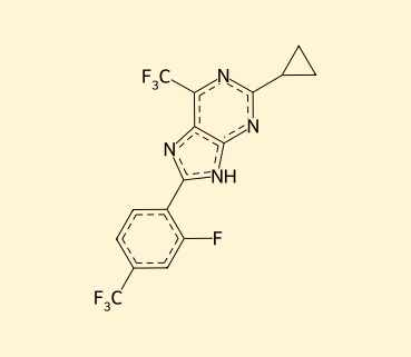 Fc1cc(C(F)(F)F)ccc1-c1nc2c(C(F)(F)F)nc(C3CC3)nc2[nH]1